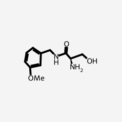 COc1cccc(CNC(=O)[C@H](N)CO)c1